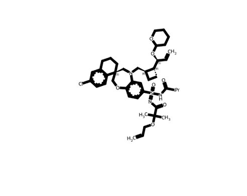 C=CCOC(C)(C)C(=O)N=S(=O)(NC(=O)C(C)C)c1ccc2c(c1)N(C[C@@H]1CC[C@H]1[C@H](C=C)OC1CCCCO1)C[C@@]1(CCCc3cc(Cl)ccc31)CO2